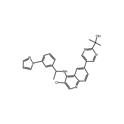 CC(Nc1c(Cl)cnc2ccc(-c3cnc(C(C)(C)O)nc3)cc12)c1cccc(-n2cccn2)c1